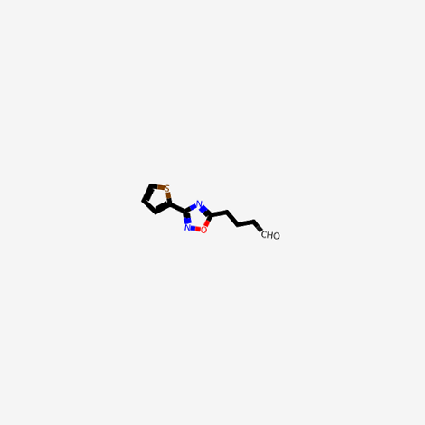 O=CCCCc1nc(-c2cccs2)no1